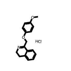 COc1ccc(OCC2=NCCc3ccccc32)cc1.Cl